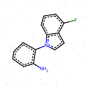 Nc1ccccc1-n1ccc2c(F)cccc21